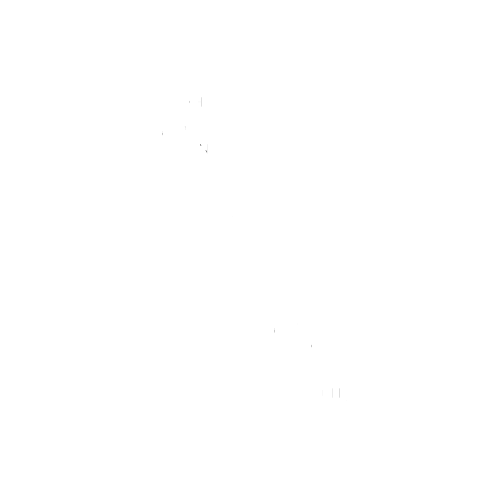 CCOC(=O)CCCC1CCC2(CC1)CCN(C(=O)O)CC2